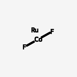 [F][Co][F].[Ru]